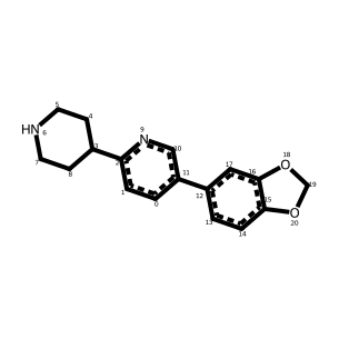 c1cc(C2CCNCC2)ncc1-c1ccc2c(c1)OCO2